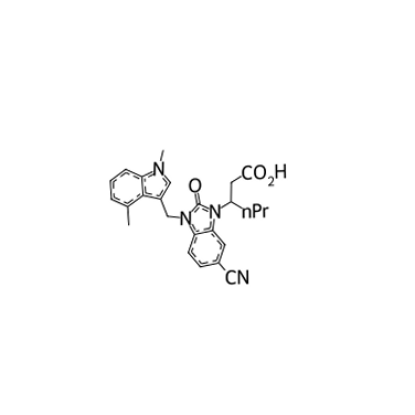 CCCC(CC(=O)O)n1c(=O)n(Cc2cn(C)c3cccc(C)c23)c2ccc(C#N)cc21